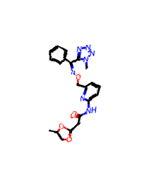 CC1COC(CC(=O)Nc2cccc(CO/N=C(/c3ccccc3)c3nnnn3C)n2)O1